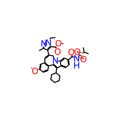 CCn1nc(C)c(C2=Cc3cc(OC)ccc3-c3c(C4CCCCC4)c4ccc(C(=O)NS(=O)(=O)C(C)C)cc4n3C2)c1C(=O)OC